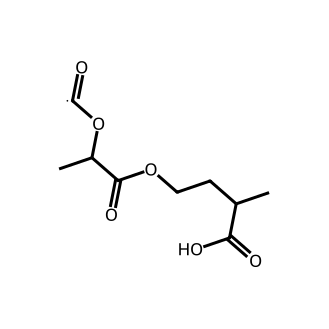 CC(CCOC(=O)C(C)O[C]=O)C(=O)O